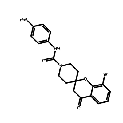 CCCCc1ccc(NC(=O)N2CCC3(CC2)CC(=O)c2cccc(Br)c2O3)cc1